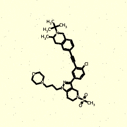 CC1Cc2cc(C#Cc3cc(-c4nn(CCCN5CCOCC5)c5c4CN(S(C)(=O)=O)CC5)ccc3Cl)ccc2CN1C(C)(C)C